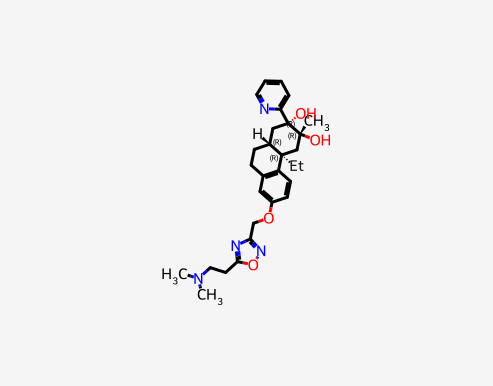 CC[C@@]12C[C@@](C)(O)[C@](O)(c3ccccn3)C[C@H]1CCc1cc(OCc3noc(CCN(C)C)n3)ccc12